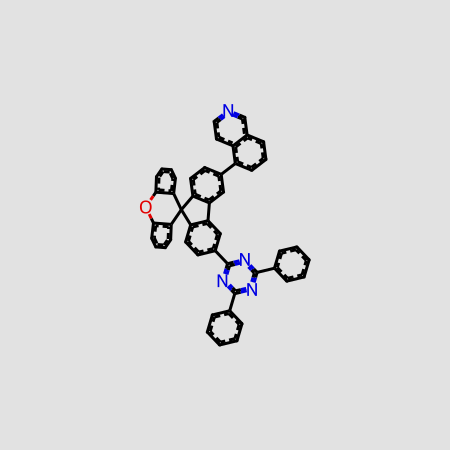 c1ccc(-c2nc(-c3ccccc3)nc(-c3ccc4c(c3)-c3cc(-c5cccc6cnccc56)ccc3C43c4ccccc4Oc4ccccc43)n2)cc1